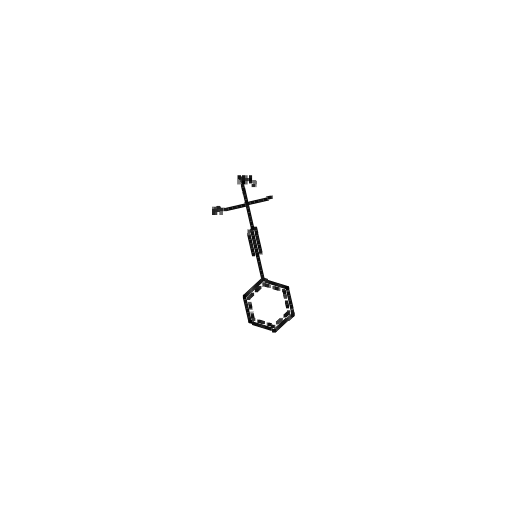 CC(C)C(C)(N)C#Cc1ccccc1